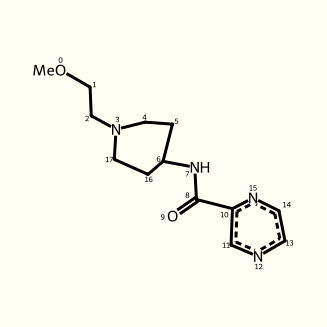 COCCN1CCC(NC(=O)c2cnccn2)CC1